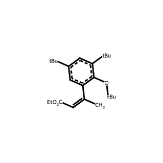 CCCCOc1c(/C(C)=C\C(=O)OCC)cc(C(C)(C)C)cc1C(C)(C)C